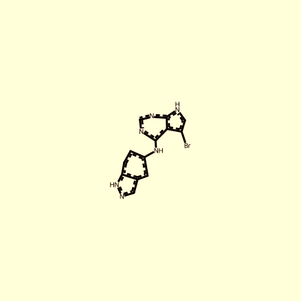 Brc1c[nH]c2ncnc(Nc3ccc4[nH]ncc4c3)c12